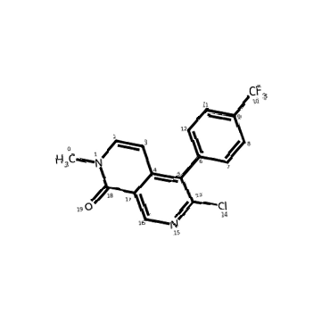 Cn1ccc2c(-c3ccc(C(F)(F)F)cc3)c(Cl)ncc2c1=O